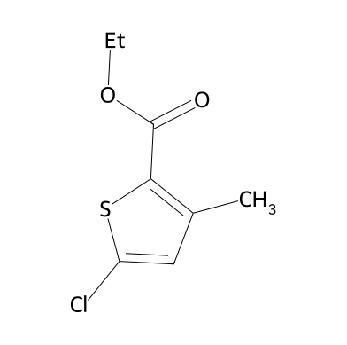 CCOC(=O)c1sc(Cl)cc1C